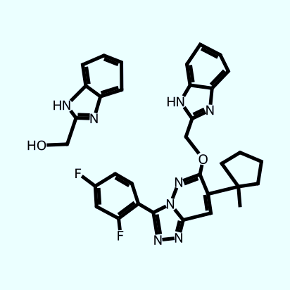 CC1(c2cc3nnc(-c4ccc(F)cc4F)n3nc2OCc2nc3ccccc3[nH]2)CCCC1.OCc1nc2ccccc2[nH]1